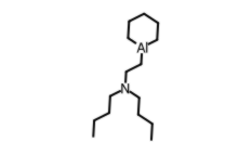 CCCCN(CCCC)C[CH2][Al]1[CH2]CCC[CH2]1